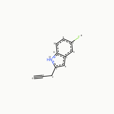 C#CCc1cc2cc(F)ccc2[nH]1